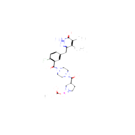 Cc1c(Cc2ccc(F)c(C(=O)N3CCN(C(=O)C4CCN(OC(=O)C(F)(F)F)C4)CC3)c2)n[nH]c(=O)c1C